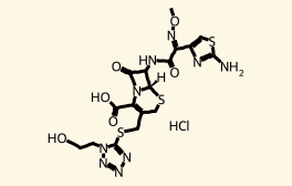 CON=C(C(=O)NC1C(=O)N2C(C(=O)O)=C(CSc3nnnn3CCO)CS[C@@H]12)c1csc(N)n1.Cl